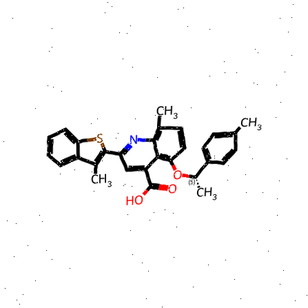 Cc1ccc([C@H](C)Oc2ccc(C)c3nc(-c4sc5ccccc5c4C)cc(C(=O)O)c23)cc1